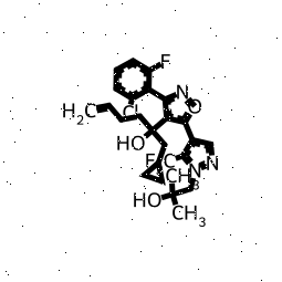 C=CCCC(O)(CC1CC1)c1c(-c2c(F)cccc2Cl)noc1-c1cnn(CC(C)(C)O)c1C(F)(F)F